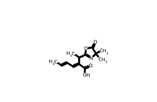 C/C=C/C=C(/C(=O)O)C(C)C1=NC(C)(C)C(=O)O1